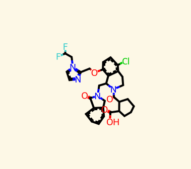 O=C(O)C1CCCCC1C(=O)N1CCc2c(Cl)ccc(OCc3nccn3CC(F)F)c2C1CN1Cc2ccccc2C1=O